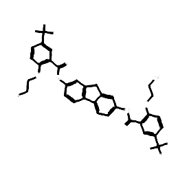 NCCSc1ccc(C(F)(F)F)cc1C(=O)Nc1ccc2c(c1)Cc1cc(NC(=O)c3cc(C(F)(F)F)ccc3SCCN)ccc1-2